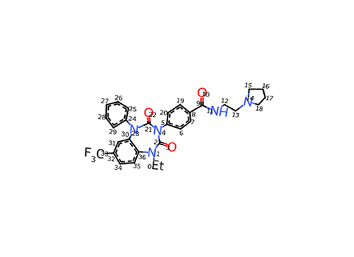 CCN1C(=O)N(c2ccc(C(=O)NCCN3CCCC3)cc2)C(=O)N(c2ccccc2)c2cc(C(F)(F)F)ccc21